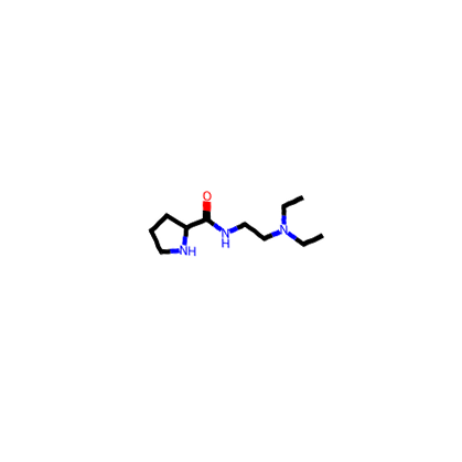 CCN(CC)CCNC(=O)C1CCCN1